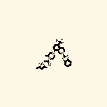 Cc1cc(C)n(CC(=O)N2CCN(c3ccc(C(F)(F)F)c4c3CN(c3nc5ccccc5s3)CC4)CC2C)n1